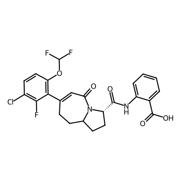 O=C(O)c1ccccc1NC(=O)[C@@H]1CCC2CCC(c3c(OC(F)F)ccc(Cl)c3F)=CC(=O)N21